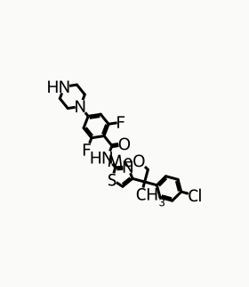 COCC(C)(c1ccc(Cl)cc1)c1csc(NC(=O)c2c(F)cc(N3CCNCC3)cc2F)n1